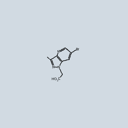 Cc1nn(CC(=O)O)c2cc(Br)cnc12